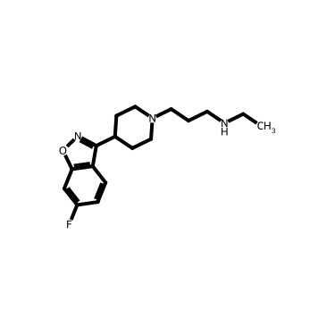 CCNCCCN1CCC(c2noc3cc(F)ccc23)CC1